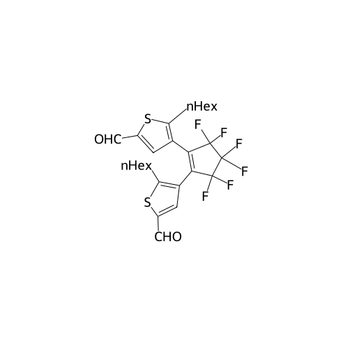 CCCCCCc1sc(C=O)cc1C1=C(c2cc(C=O)sc2CCCCCC)C(F)(F)C(F)(F)C1(F)F